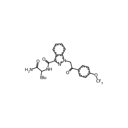 CC(C)(C)C(NC(=O)c1nn(CC(=O)c2ccc(OC(F)(F)F)cc2)c2ccccc12)C(N)=O